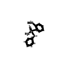 COc1ccccc1P(C)(=O)Sc1ccccc1